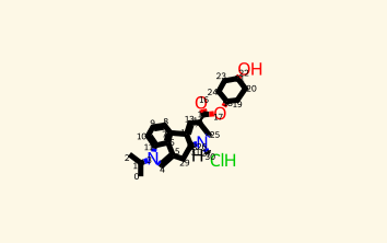 CC(C)n1cc2c3c(cccc31)C1=C[C@@H](C(=O)OC3CCC(O)CC3)CN(C)[C@@H]1C2.Cl